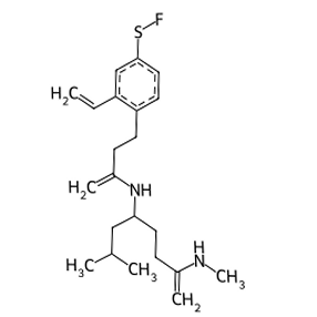 C=Cc1cc(SF)ccc1CCC(=C)NC(CCC(=C)NC)CC(C)C